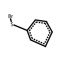 BrSc1c[c]ccc1